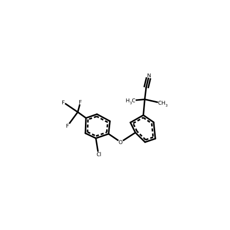 CC(C)(C#N)c1cccc(Oc2ccc(C(F)(F)F)cc2Cl)c1